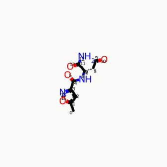 Cc1cc(C(=O)N[C@@H](CC=O)C(N)=O)no1